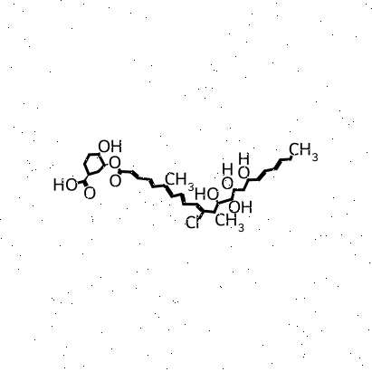 CC/C=C/C=C/[C@H](O)C[C@@H](O)[C@@H](O)[C@H](O)[C@H](C)/C(Cl)=C/C=C/C=C(C)/C=C/C=C/C(=O)O[C@@H]1C[C@@H](C(=O)O)CC[C@@H]1O